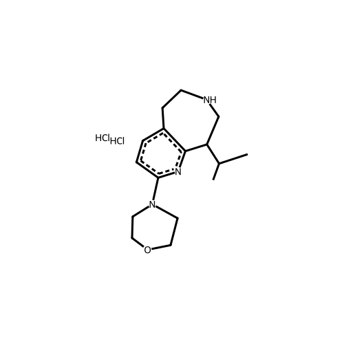 CC(C)C1CNCCc2ccc(N3CCOCC3)nc21.Cl.Cl